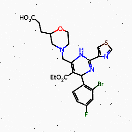 CCOC(=O)C1=C(CN2CCOC(CCC(=O)O)C2)NC(c2cscn2)=NC1c1ccc(F)cc1Br